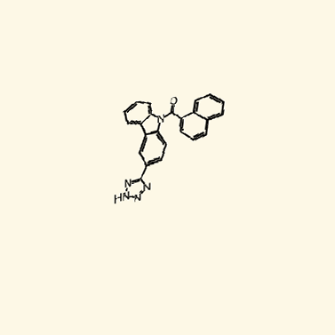 O=C(c1cccc2ccccc12)n1c2ccccc2c2cc(-c3nn[nH]n3)ccc21